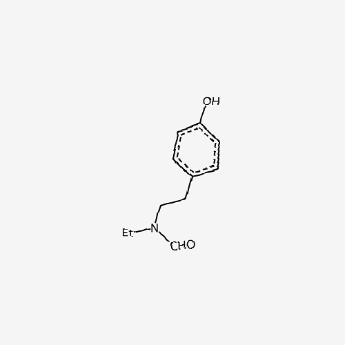 CCN(C=O)CCc1ccc(O)cc1